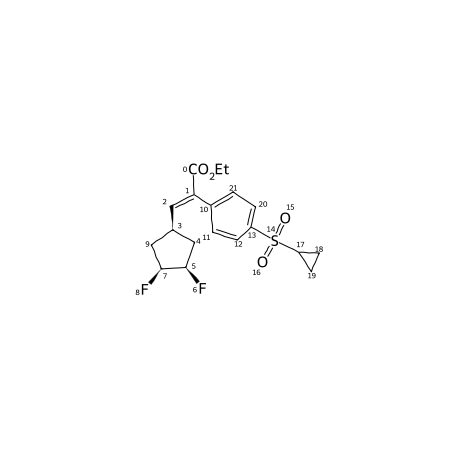 CCOC(=O)/C(=C/[C@H]1C[C@@H](F)[C@@H](F)C1)c1ccc(S(=O)(=O)C2CC2)cc1